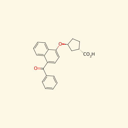 O=C(c1ccccc1)c1ccc(O[C@H]2CC[C@H](C(=O)O)C2)c2ccccc12